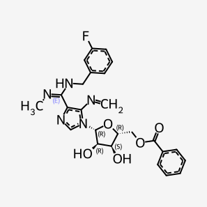 C=Nc1c(/C(=N\C)NCc2cccc(F)c2)ncn1[C@@H]1O[C@H](COC(=O)c2ccccc2)[C@@H](O)[C@H]1O